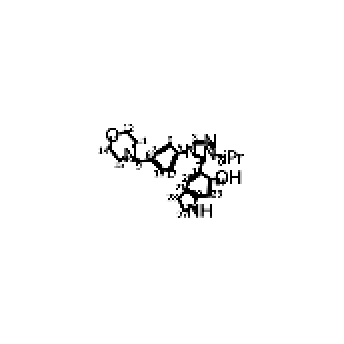 CC(C)N1N=CN(c2ccc(CN3CCOCC3)cc2)C1c1cc2c(cc1O)NCC2